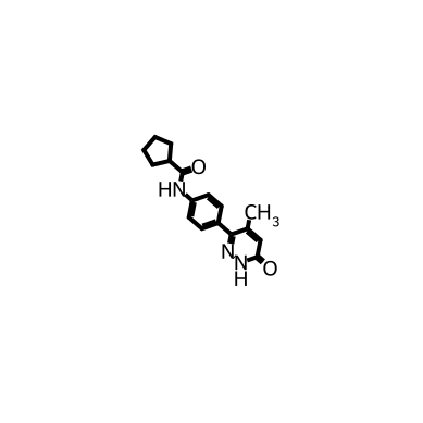 Cc1cc(=O)[nH]nc1-c1ccc(NC(=O)C2CCCC2)cc1